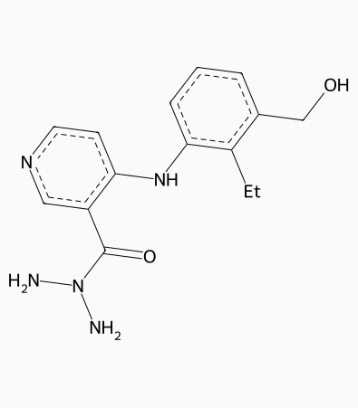 CCc1c(CO)cccc1Nc1ccncc1C(=O)N(N)N